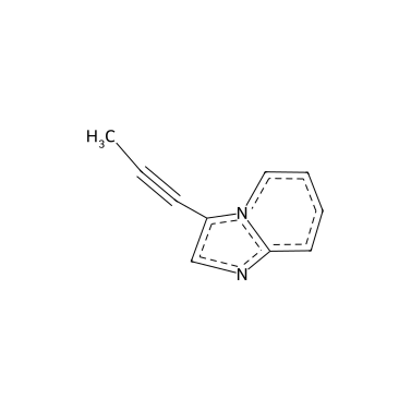 CC#Cc1cnc2ccccn12